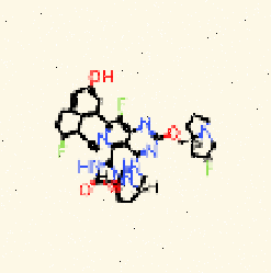 C#Cc1c(F)ccc2cc(O)cc(-c3nc(-c4noc(=O)[nH]4)c4c(N5C[C@H]6CC[C@@H](C5)N6)nc(OC[C@@]56CCCN5C[C@H](F)C6)nc4c3F)c12